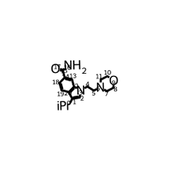 CC(C)c1cn(CCN2CCOCC2)c2cc(C(N)=O)ccc12